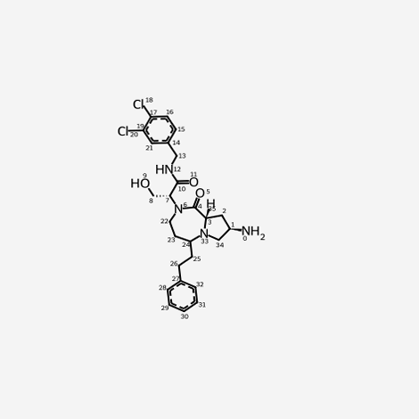 N[C@@H]1C[C@H]2C(=O)N([C@H](CO)C(=O)NCc3ccc(Cl)c(Cl)c3)CCC(CCc3ccccc3)N2C1